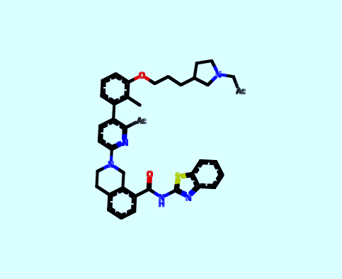 CC(=O)CN1CCC(CCCOc2cccc(-c3ccc(N4CCc5cccc(C(=O)Nc6nc7ccccc7s6)c5C4)nc3C(C)=O)c2C)C1